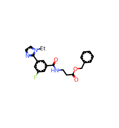 CCn1ccnc1-c1cc(F)cc(C(=O)NCCC(=O)OCc2ccccc2)c1